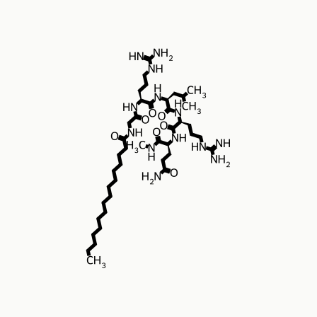 CCCCCCCCCCCCCCCC(=O)NCC(=O)N[C@@H](CCCNC(=N)N)C(=O)N[C@@H](CC(C)C)C(=O)N[C@@H](CCCNC(=N)N)C(=O)N[C@@H](CCC(N)=O)C(=O)NC